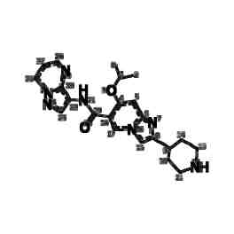 CC(C)Oc1cc2nc(C3CCNCC3)cn2cc1C(=O)Nc1cnn2cccnc12